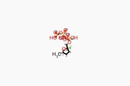 C[C@H]1CC[C@@](F)(COP(=O)(O)OP(=O)(O)OP(=O)(O)O)O1